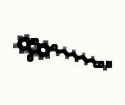 O=C(O)CCCCCCCCOc1ccc(C(=O)c2ccccc2)c(O)c1